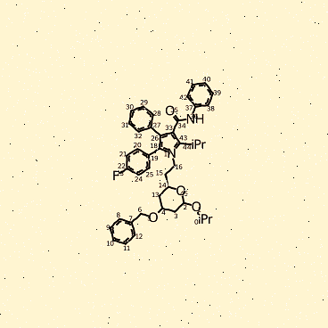 CC(C)OC1CC(OCc2ccccc2)C[C@@H](CCn2c(-c3ccc(F)cc3)c(-c3ccccc3)c(C(=O)Nc3ccccc3)c2C(C)C)O1